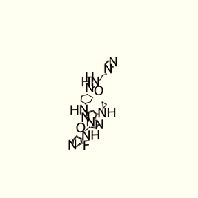 O=C(NCCCn1ccnc1)N[C@H]1CC[C@H](Nc2cc(NC3CC3)c3ncc(C(=O)Nc4ccncc4F)n3n2)CC1